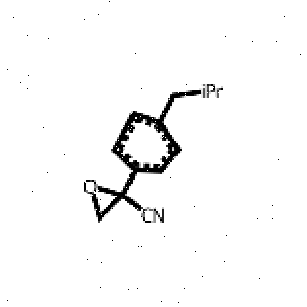 CC(C)Cc1ccc(C2(C#N)CO2)cc1